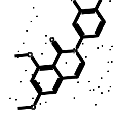 COc1cc(OC)c2c(=O)n(-c3ccc(O)c(F)c3)ccc2c1